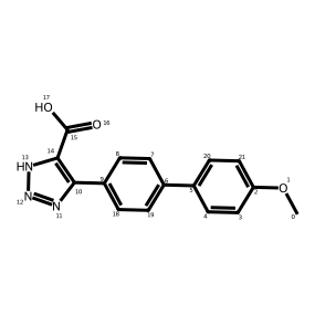 COc1ccc(-c2ccc(-c3nn[nH]c3C(=O)O)cc2)cc1